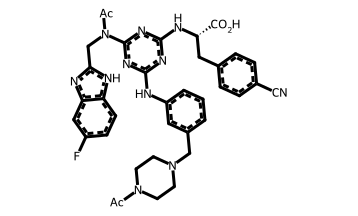 CC(=O)N1CCN(Cc2cccc(Nc3nc(N[C@@H](Cc4ccc(C#N)cc4)C(=O)O)nc(N(Cc4nc5cc(F)ccc5[nH]4)C(C)=O)n3)c2)CC1